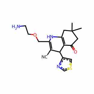 CC1(C)CC(=O)C2=C(C1)NC(COCCN)=C(C#N)C2c1cscn1